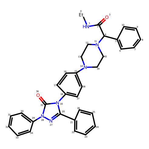 CCNC(=O)C(c1ccccc1)N1CCN(c2ccc(-n3c(-c4ccccc4)nn(-c4ccccc4)c3=O)cc2)CC1